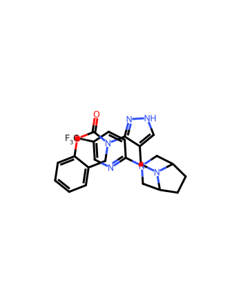 O=C1Oc2ccccc2CN1c1n[nH]cc1CN1C2CCC1CN(c1ccc(C(F)(F)F)cn1)C2